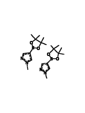 Cn1cc(B2OC(C)(C)C(C)(C)O2)cn1.Cn1cc(B2OC(C)(C)C(C)(C)O2)cn1